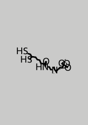 COS(=O)(=O)CCC[N+](C)(C)CCNC(=O)CCCCC(S)CCS